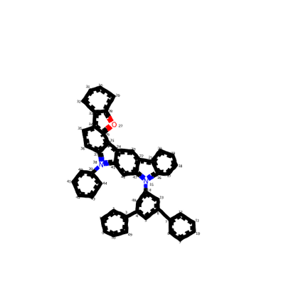 c1ccc(-c2cc(-c3ccccc3)cc(-n3c4ccccc4c4cc5c6c7oc8ccccc8c7ccc6n(-c6ccccc6)c5cc43)c2)cc1